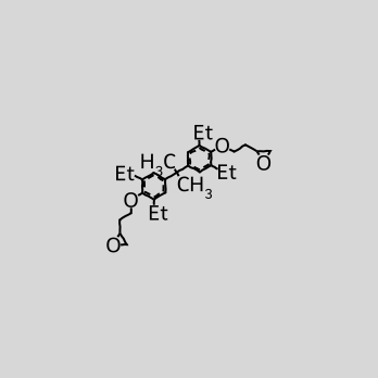 CCc1cc(C(C)(C)c2cc(CC)c(OCCC3CO3)c(CC)c2)cc(CC)c1OCCC1CO1